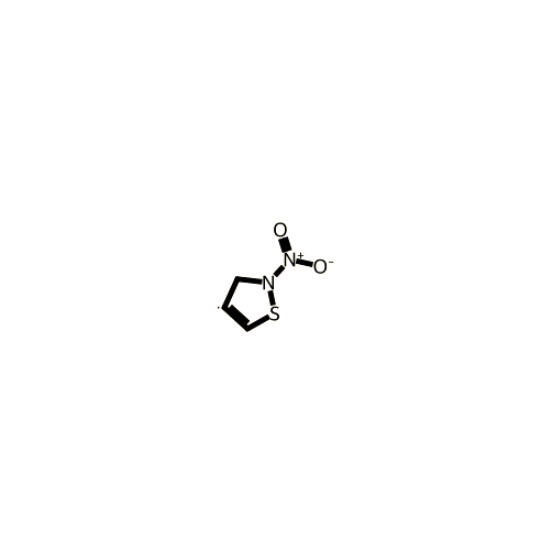 O=[N+]([O-])N1C[C]=CS1